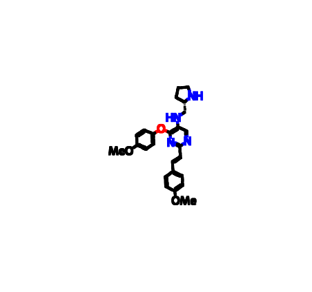 COc1ccc(C=Cc2ncc(NC[C@@H]3CCCN3)c(Oc3ccc(OC)cc3)n2)cc1